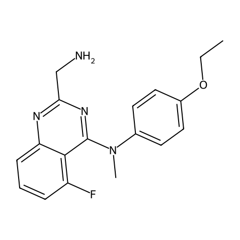 CCOc1ccc(N(C)c2nc(CN)nc3cccc(F)c23)cc1